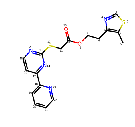 Cc1scnc1CCOC(=O)CSc1nccc(-c2ccccn2)n1